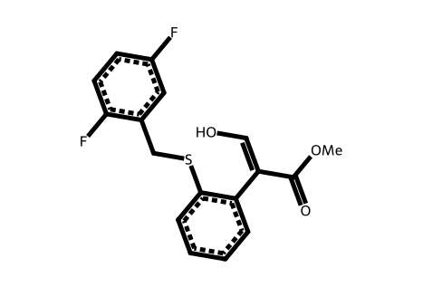 COC(=O)/C(=C/O)c1ccccc1SCc1cc(F)ccc1F